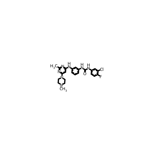 Cc1nc(Nc2cccc(NC(=O)Nc3ccc(F)c(Cl)c3)c2)cc(N2CCN(C)CC2)n1